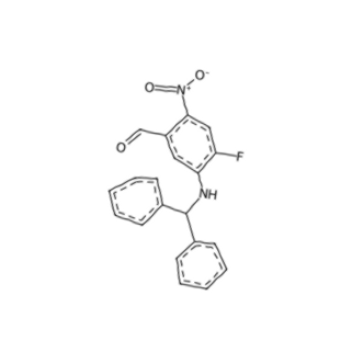 O=Cc1cc(NC(c2ccccc2)c2ccccc2)c(F)cc1[N+](=O)[O-]